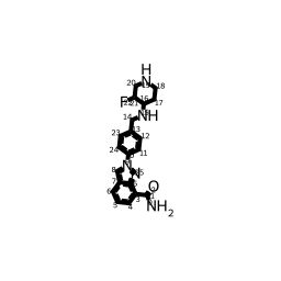 NC(=O)c1cccc2cn(-c3ccc(CNC4CCNCC4F)cc3)nc12